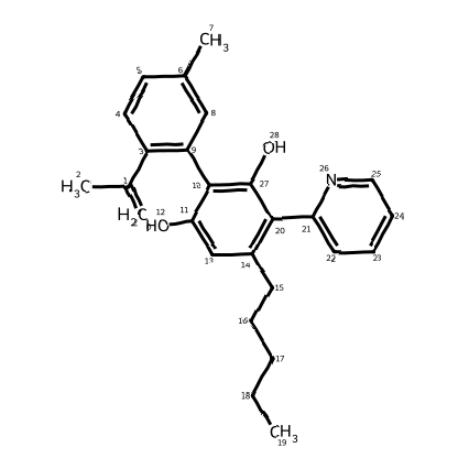 C=C(C)c1ccc(C)cc1-c1c(O)cc(CCCCC)c(-c2ccccn2)c1O